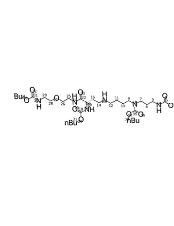 CCCCOC(=O)NCCCN(CCCCNCC[C@H](NC(=O)OCCCC)C(=O)NCCOCCNC(=O)OC(C)(C)C)C(=O)OCCCC